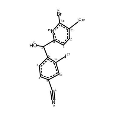 N#Cc1ccc(C(O)c2ccc(F)c(Br)n2)c(I)c1